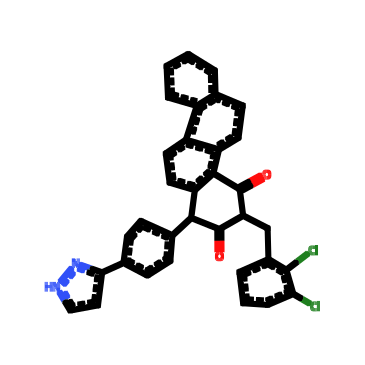 O=C1c2c(ccc3c2ccc2ccccc23)C(c2ccc(-c3cc[nH]n3)cc2)C(=O)C1Cc1cccc(Cl)c1Cl